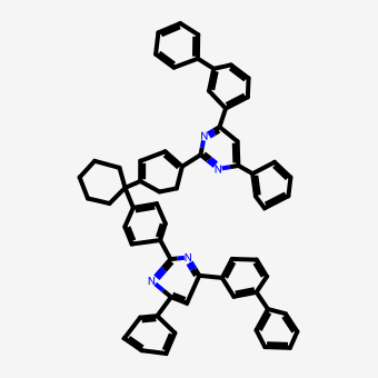 C1=C(c2nc(-c3ccccc3)cc(-c3cccc(-c4ccccc4)c3)n2)CCC(C2(c3ccc(-c4nc(-c5ccccc5)cc(-c5cccc(-c6ccccc6)c5)n4)cc3)CCCCC2)=C1